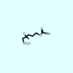 CCC(C)C(=O)OCCCC(F)(F)CS(=O)(=O)O